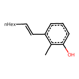 CCCCCCC=Cc1cccc(O)c1C